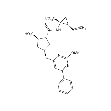 C=C[C@@H]1C[C@]1(NC(=O)[C@@H]1C[C@@H](Oc2cc(-c3ccccc3)nc(OC)n2)C[C@H]1C(=O)O)C(=O)OCC